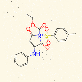 CCOC(=O)[N+]1(S(=O)(=O)c2ccc(C)cc2)C(=O)C=C(Nc2ccccc2)C1=O